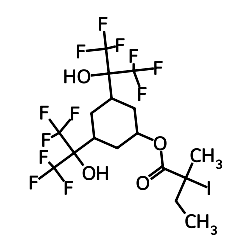 CCC(C)(I)C(=O)OC1CC(C(O)(C(F)(F)F)C(F)(F)F)CC(C(O)(C(F)(F)F)C(F)(F)F)C1